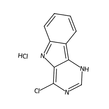 Cl.Clc1nc[nH]c2c3ccccc3nc1-2